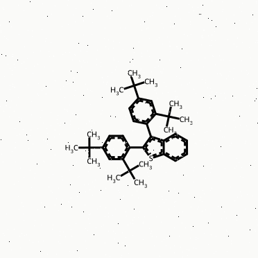 CC(C)(C)c1ccc(-c2sc3ccccc3c2-c2ccc(C(C)(C)C)cc2C(C)(C)C)c(C(C)(C)C)c1